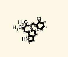 CC(Cc1nccc2cc[nH]c12)C(C)NCc1ccccc1Cl